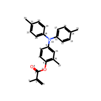 C=C(C)C(=O)Oc1ccc(N(c2ccc(C)cc2)c2ccc(C)cc2)cc1C